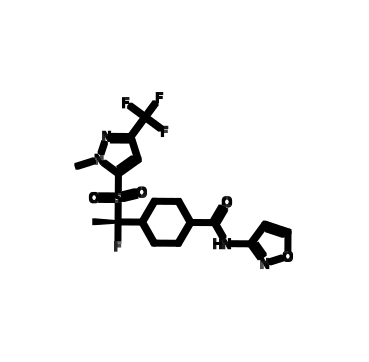 Cn1nc(C(F)(F)F)cc1S(=O)(=O)[C@@](C)(F)C1CCC(C(=O)Nc2ccon2)CC1